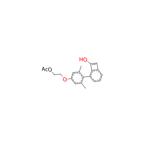 CC(=O)OCCOc1cc(C)c(-c2cccc3c2C(O)=C3)c(C)c1